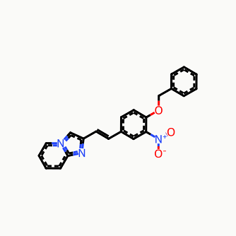 O=[N+]([O-])c1cc(C=Cc2cn3ccccc3n2)ccc1OCc1ccccc1